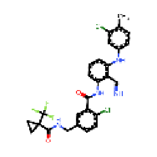 Cc1ccc(Nc2cccc(NC(=O)c3cc(CNC(=O)C4(C(F)(F)F)CC4)ccc3Cl)c2C=N)cc1Cl